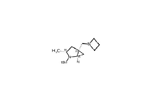 C[C@@H]1C[C@@]2(CN3CCC3)C[C@H]2N1C(C)(C)C